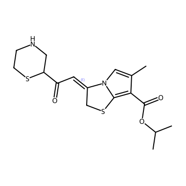 Cc1cn2c(c1C(=O)OC(C)C)SC/C2=C\C(=O)C1CNCCS1